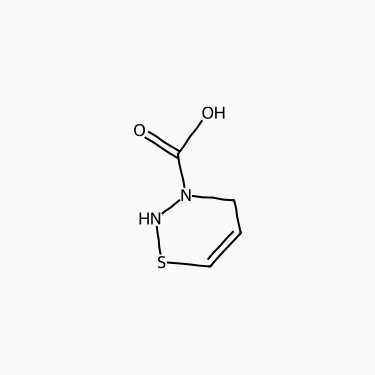 O=C(O)N1CC=CSN1